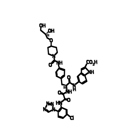 O=C(Nc1cc(Cl)ccc1-n1cnnn1)C(=O)N[C@@H](Cc1ccc(NC(=O)N2CCC(OC[C@@H](O)CO)CC2)cc1)C(=O)Nc1ccc2[nH]c(C(=O)O)cc2c1